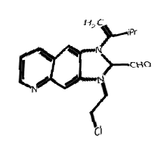 C=C(C(C)C)N1c2cc3cccnc3cc2N(CCCl)C1C=O